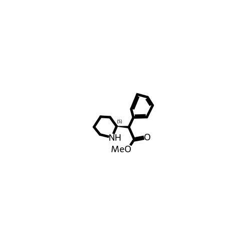 COC(=O)C(c1ccccc1)[C@@H]1CCCCN1